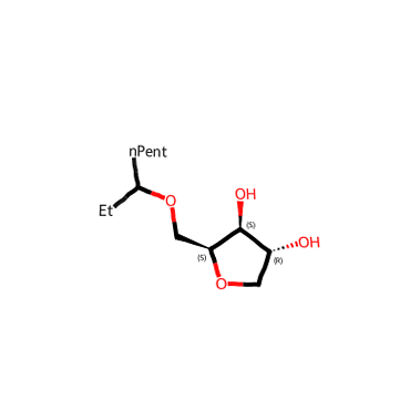 CCCCCC(CC)OC[C@@H]1OC[C@@H](O)[C@@H]1O